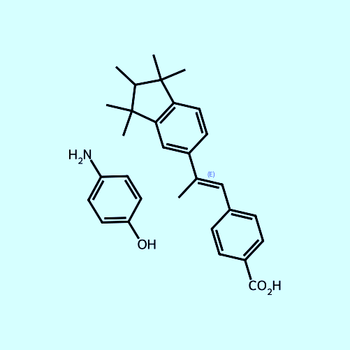 C/C(=C\c1ccc(C(=O)O)cc1)c1ccc2c(c1)C(C)(C)C(C)C2(C)C.Nc1ccc(O)cc1